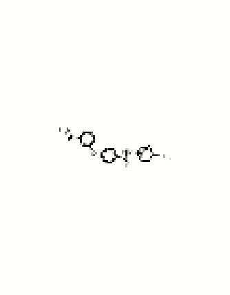 CC1CC2CCN1CC2NC(=O)c1ccc(Sc2cccc(C(N)=O)c2)cc1